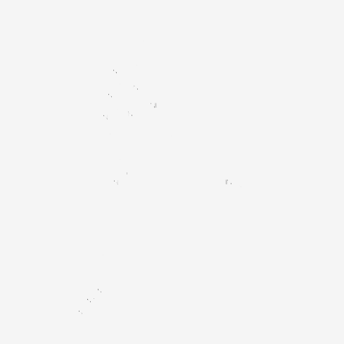 [N-]=[N+]=NCCOCCOCCNC(=O)c1ccc(Nc2nc(NCCOCCOCCNC(=O)c3ccccc3)nc(Nc3ccc(F)cc3)n2)cc1